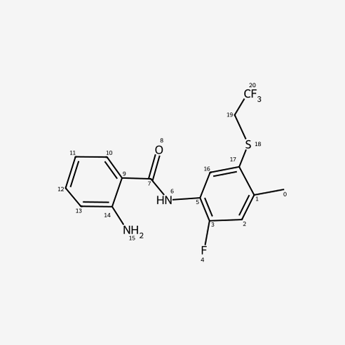 Cc1cc(F)c(NC(=O)c2ccccc2N)cc1SCC(F)(F)F